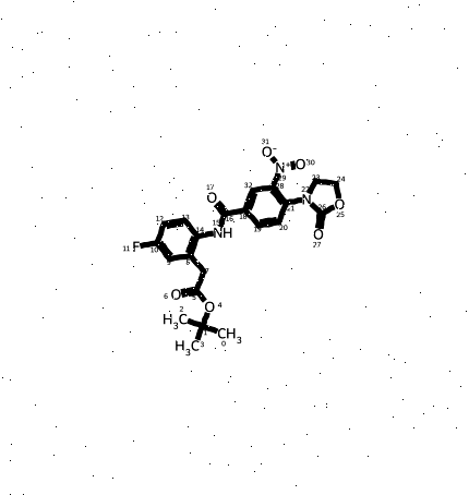 CC(C)(C)OC(=O)Cc1cc(F)ccc1NC(=O)c1ccc(N2CCOC2=O)c([N+](=O)[O-])c1